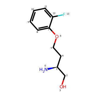 N[C@H](CO)CCOc1ccccc1F